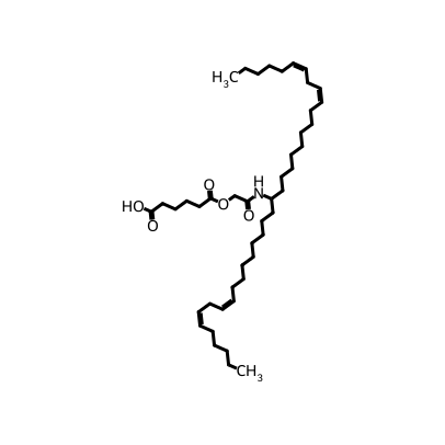 CCCCC/C=C\C/C=C\CCCCCCCCC(CCCCCCCC/C=C\C/C=C\CCCCC)NC(=O)COC(=O)CCCCC(=O)O